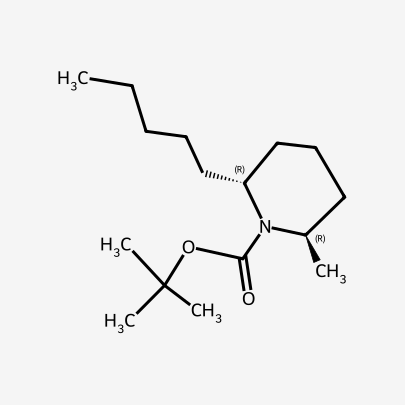 CCCCC[C@@H]1CCC[C@@H](C)N1C(=O)OC(C)(C)C